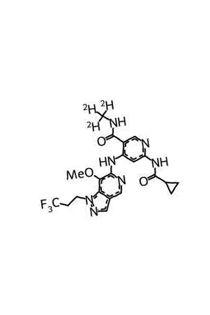 [2H]C([2H])([2H])NC(=O)c1cnc(NC(=O)C2CC2)cc1Nc1ncc2cnn(CCC(F)(F)F)c2c1OC